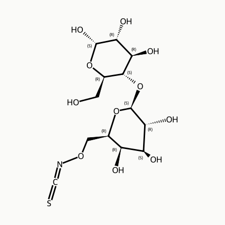 OC[C@H]1O[C@H](O)[C@H](O)[C@@H](O)[C@@H]1O[C@@H]1O[C@H](CON=C=S)[C@H](O)[C@H](O)[C@H]1O